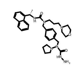 C[C@H](NC(=O)N(CCCN1CCOCC1)Cc1ccc(CN(C(=O)NN)N2CCCC2)cc1)c1cccc2ccccc12